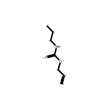 [CH2]CCNC(=O)OCC=C